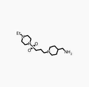 CCN1CCN(S(=O)(=O)CCCN2CCC(CN)CC2)CC1